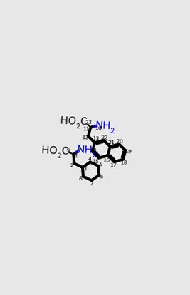 N[C@@H](CC1CCCCC1)C(=O)O.N[C@@H](Cc1ccc2ccccc2c1)C(=O)O